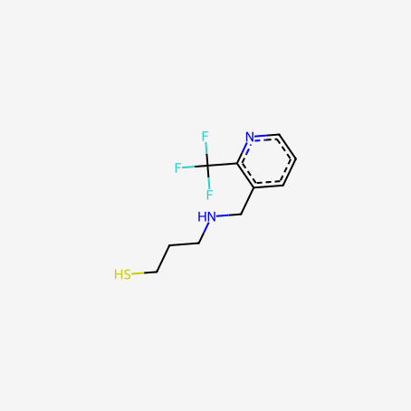 FC(F)(F)c1ncccc1CNCCCS